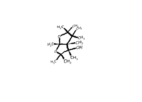 CC1(C)O[C@@]2(C)OC(C)(C)[C@@](C)(O)[C@@]2(C)C1(C)C